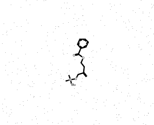 C=C(CCOC(=O)c1ccccc1)CO[Si](C)(C)C(C)(C)C